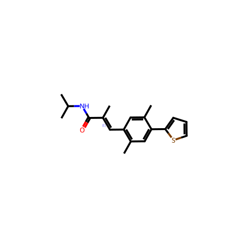 C/C(=C\c1cc(C)c(-c2cccs2)cc1C)C(=O)NC(C)C